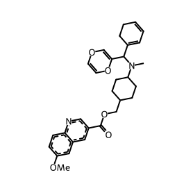 COc1ccc2ncc(C(=O)OCC3CCC(N(C)C(C4=CC=CCC4)C4=COC=CO4)CC3)cc2c1